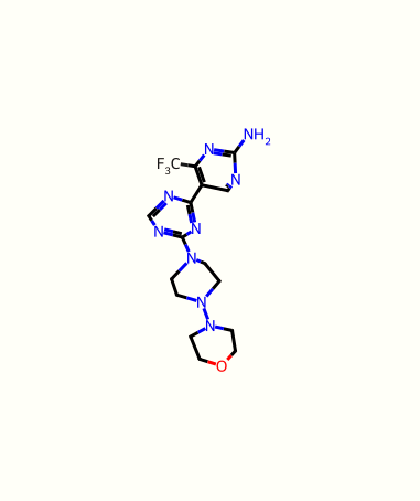 Nc1ncc(-c2ncnc(N3CCN(N4CCOCC4)CC3)n2)c(C(F)(F)F)n1